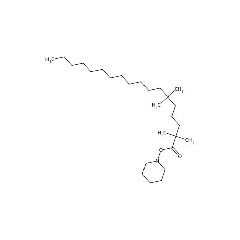 CCCCCCCCCCCCC(C)(C)C[CH]CC(C)(C)C(=O)ON1CCCCC1